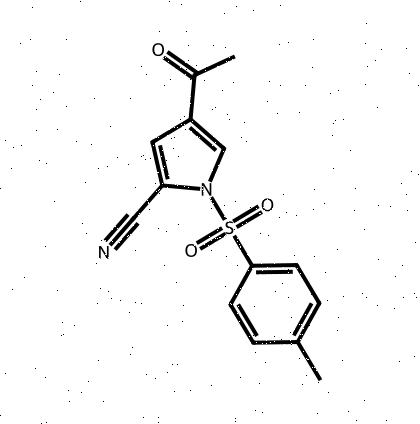 CC(=O)c1cc(C#N)n(S(=O)(=O)c2ccc(C)cc2)c1